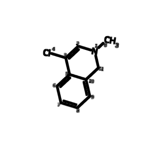 CN1C=C(Cl)c2ccccc2C1